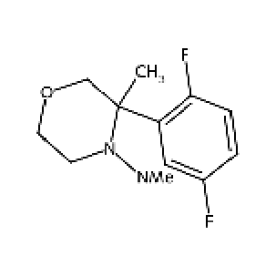 CNN1CCOCC1(C)c1cc(F)ccc1F